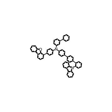 c1ccc(-c2cccc(N(c3ccc(-c4ccc(-c5ccccc5-n5c6ccccc6c6ccccc65)cc4)cc3)c3ccc(-c4cccc5c4oc4ccccc45)cc3)c2)cc1